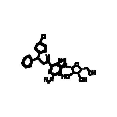 Nc1nc(NCC(c2ccccc2)c2ccc(Cl)cc2)c2ncn([C@@H]3O[C@H](CO)[C@@H](O)[C@H]3O)c2n1